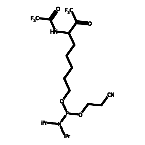 CC(C)N(C(C)C)P(OCCC#N)OCCCCCC(NC(=O)C(F)(F)F)C(=O)C(F)(F)F